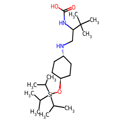 CC(C)[Si](O[C@H]1CC[C@H](NCC(NC(=O)O)C(C)(C)C)CC1)(C(C)C)C(C)C